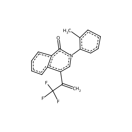 C=C(c1cn(-c2ccccc2C)c(=O)c2ccccc12)C(F)(F)F